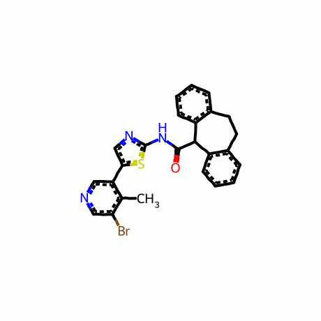 Cc1c(Br)cncc1-c1cnc(NC(=O)C2c3ccccc3CCc3ccccc32)s1